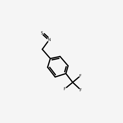 FC(F)(F)c1ccc(CN=S)cc1